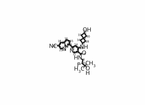 CC(C)(O)[C@H](F)CNC(=O)c1cnc(-c2ccc3cc(C#N)cnn23)cc1NC1CC2(CC(O)C2)C1